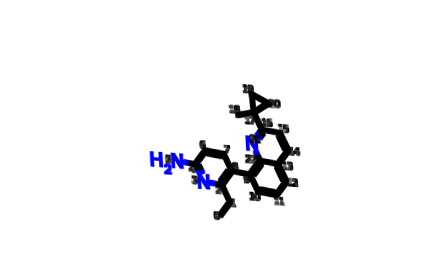 CCc1nc(N)ccc1-c1cccc2ccc(C3(C)CC3)nc12